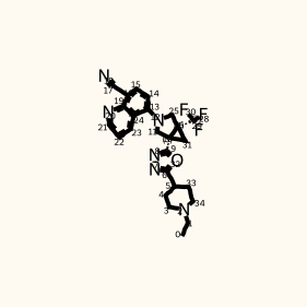 CCN1CCC(c2nnc([C@]34CN(c5ccc(C#N)c6ncccc56)C[C@@]3(C(F)(F)F)C4)o2)CC1